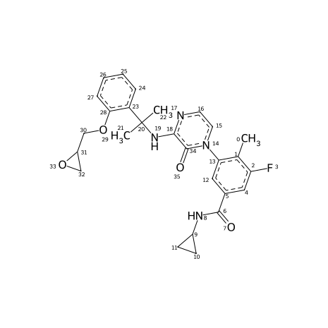 Cc1c(F)cc(C(=O)NC2CC2)cc1-n1ccnc(NC(C)(C)c2ccccc2OCC2CO2)c1=O